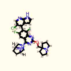 Fc1cc2c(N3C[C@H]4CC[C@@H](C3)N4)nc(OCC34CCCN3CCC4)nc2c(F)c1-c1c(Cl)cnc2[nH]ccc12